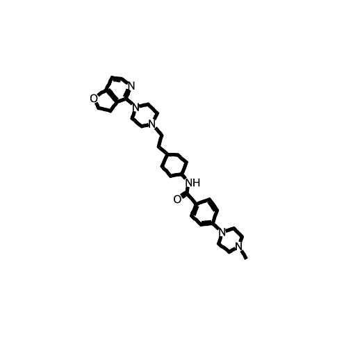 CN1CCN(c2ccc(C(=O)NC3CCC(CCN4CCN(c5nccc6c5CCO6)CC4)CC3)cc2)CC1